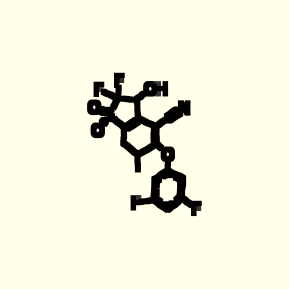 CC1CC2=C(C(C#N)=C1Oc1cc(F)cc(F)c1)C(O)C(F)(F)S2(=O)=O